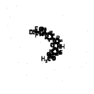 CCC(F)(F)c1nc(N2CCC(N3CCC(Nc4ccc(S(C)(=O)=O)cc4F)C3=O)CC2)no1